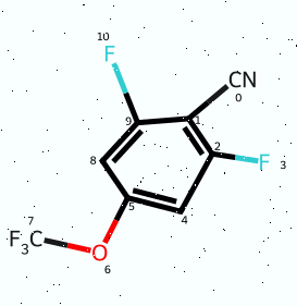 N#Cc1c(F)cc(OC(F)(F)F)cc1F